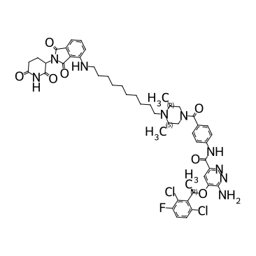 C[C@@H]1CN(C(=O)c2ccc(NC(=O)c3cc(O[C@H](C)c4c(Cl)ccc(F)c4Cl)c(N)nn3)cc2)C[C@H](C)N1CCCCCCCCCCNc1cccc2c1C(=O)N(C1CCC(=O)NC1=O)C2=O